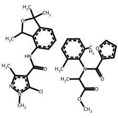 COC(=O)C(C)N(C(=O)c1ccco1)c1c(C)cccc1C.Cc1nn(C)c(Cl)c1C(=O)Nc1cccc2c1C(C)OC2(C)C